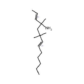 C/C=C/C(C)(N)CC(C)(C)/C=C/CCCCC